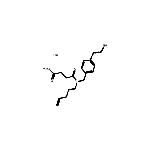 C=CCCCN(Cc1ccc(CCN)cc1)C(=O)CCC(=O)OC.Cl